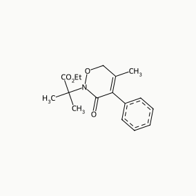 CCOC(=O)C(C)(C)N1OCC(C)=C(c2ccccc2)C1=O